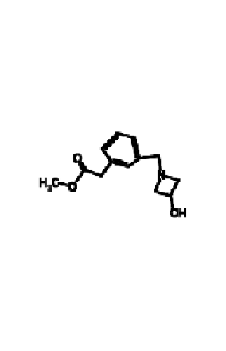 COC(=O)Cc1cccc(CN2CC(O)C2)c1